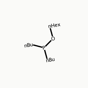 CCCCCCOP(CCCC)CCCC